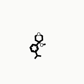 COC1(c2cccc(C(C)C)c2)CCOCC1